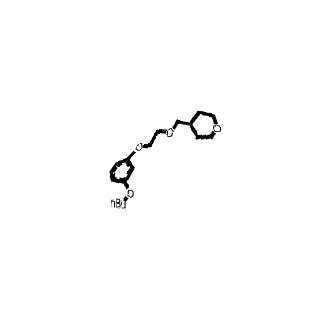 CCCCOc1cccc(OCCOCC2CCOCC2)c1